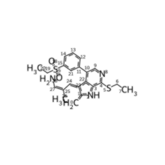 C=c1[nH]c2c(SCC)ncc(-c3cccc(S(=O)(=O)CC)c3)c2/c1=C/C(C)=C\N